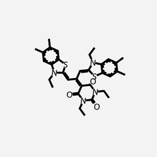 CCN1C(=O)C(=C(/C=C2\Sc3cc(C)c(C)cc3N2CC)/C=C2\Sc3cc(C)c(C)cc3N2CC)C(=O)N(CC)C1=O